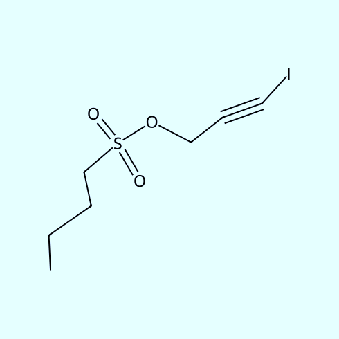 CCCCS(=O)(=O)OCC#CI